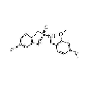 COc1ccc(CNS(=O)(=O)Cc2ccc(Br)cc2I)c(OC)c1